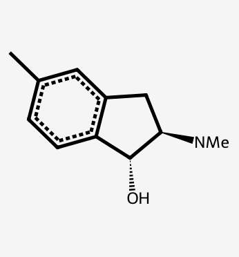 CN[C@@H]1Cc2cc(C)ccc2[C@H]1O